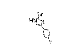 Fc1ccc(-c2c[nH]c(Br)n2)cc1